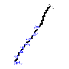 CCCCCCCCCCCCCCNCCNCCNCCNCCNCCNCCNCCN